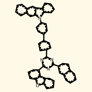 c1ccc2cc(-c3nc(-c4ccc(-c5ccc(-n6c7ccccc7c7cc8ccccc8cc76)cc5)cc4)nc(-c4cccc5oc6ccccc6c45)n3)ccc2c1